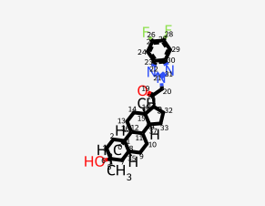 CC12CC[C@@](C)(O)C[C@H]1CCC1[C@@H]2CC[C@]2(C)[C@@H](C(=O)Cn3nc4cc(F)c(F)cc4n3)CC[C@@H]12